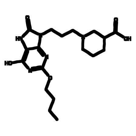 CCCCOc1nc(O)c2[nH]c(=O)n(CCCN3CCCC(C(=O)O)C3)c2n1